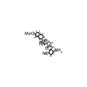 COc1ccc2ccc(S(=O)(=O)NC3CCN(Cc4cc(C#N)ccc4N)C3=O)cc2c1